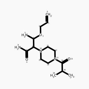 C=CCOC(N)C(C(N)=O)N1CCN(C(=O)C(C)C)CC1